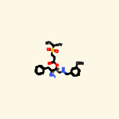 CCCC(CCC)S(=O)(=O)CCC(=O)O[C@H](CNCc1cccc(OC)c1)[C@@H](N)Cc1ccccc1